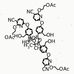 CC(=O)OCCOc1nc(Oc2ccc(B(O)OB(c3ccc(Oc4ccc(C#N)c(OCCOC(C)=O)n4)cc3CO)C(C)(C)OB(O)c3ccc(Oc4ccc(C#N)c(OCCOC(C)=O)n4)cc3CO)c(CO)c2)ccc1C#N